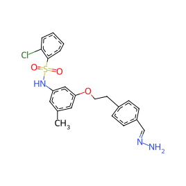 Cc1cc(NS(=O)(=O)c2ccccc2Cl)cc(OCCc2ccc(C=NN)cc2)c1